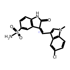 Cn1cc(/C=C2\C(=O)Nc3ccc(S(N)(=O)=O)cc32)c2cc(Cl)ccc21